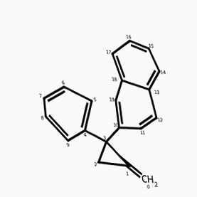 C=C1CC1(c1ccccc1)c1ccc2ccccc2c1